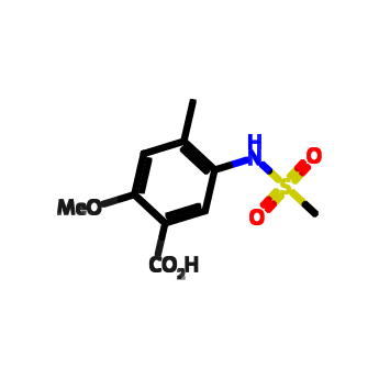 COc1cc(C)c(NS(C)(=O)=O)cc1C(=O)O